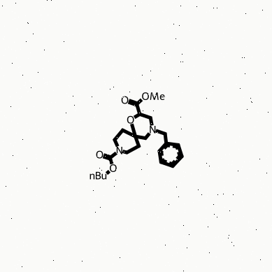 CCCCOC(=O)N1CCC2(CC1)CN(Cc1ccccc1)CC(C(=O)OC)O2